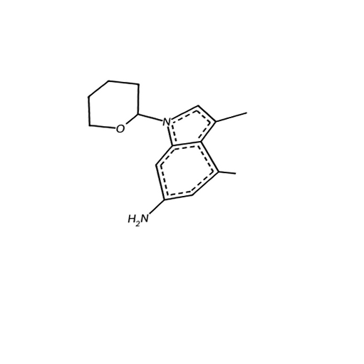 Cc1cc(N)cc2c1c(C)cn2C1CCCCO1